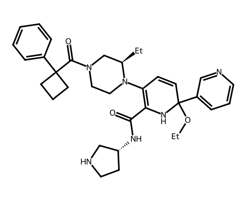 CCOC1(c2cccnc2)C=CC(N2CCN(C(=O)C3(c4ccccc4)CCC3)C[C@H]2CC)=C(C(=O)N[C@@H]2CCNC2)N1